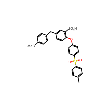 COc1ccc(Cc2ccc(Oc3ccc(S(=O)(=O)c4ccc(C)cc4)cc3)c(S(=O)(=O)O)c2)cc1